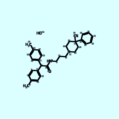 Cc1ccc(C(C(=O)NCCCN2CCC(C#N)(c3ccccc3)CC2)c2ccc(C)cc2)cc1.Cl